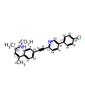 C/C(=C/[C@H](C)NC(=O)O)c1ccc(C#Cc2ccc(-c3ccc(Cl)cc3)cn2)cc1